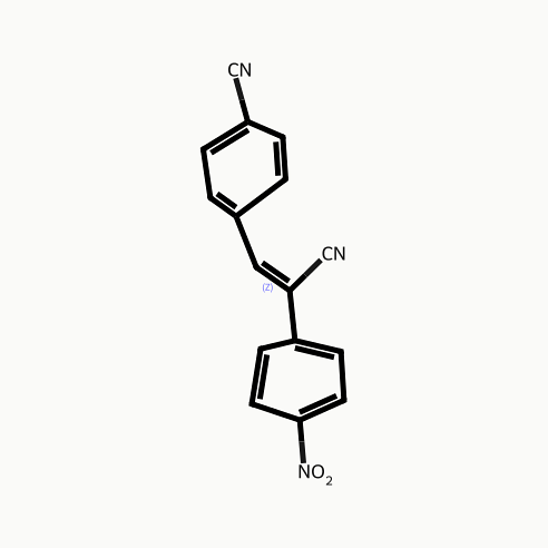 N#C/C(=C\c1ccc(C#N)cc1)c1ccc([N+](=O)[O-])cc1